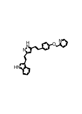 C(=Cc1cc(C=Cc2c[nH]c3ccccc23)n[nH]1)c1ccc(OCc2ccccn2)cc1